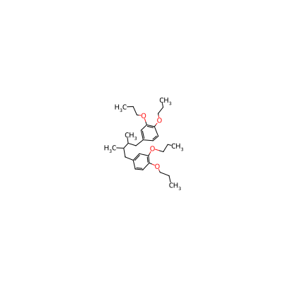 CCCOc1ccc(CC(C)C(C)Cc2ccc(OCCC)c(OCCC)c2)cc1OCCC